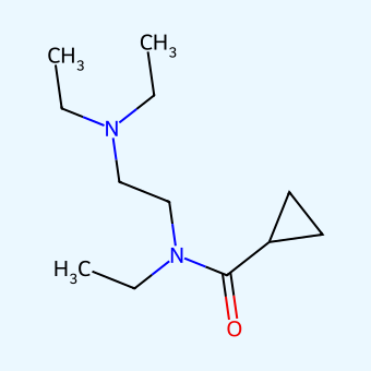 CCN(CC)CCN(CC)C(=O)C1CC1